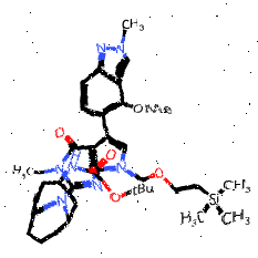 COc1c(-c2cn(COCC[Si](C)(C)C)c3nc(N4C5CCC4CC(NC(=O)OC(C)(C)C)C5)n(C)c(=O)c23)ccc2nn(C)cc12